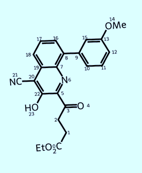 CCOC(=O)CCC(=O)c1nc2c(-c3cccc(OC)c3)cccc2c(C#N)c1O